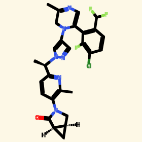 CC1=NC=C(c2c(C(F)F)ccc(Cl)c2F)N(c2cnn([C@H](C)c3ccc(N4C[C@H]5C[C@H]5C4=O)c(C)n3)c2)C1